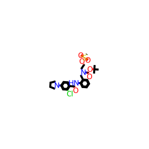 CC(C)(C)OC(=O)N(CCOS(C)(=O)=O)Cc1ccccc1NC(=O)c1ccc(N2CCCC2)cc1Cl